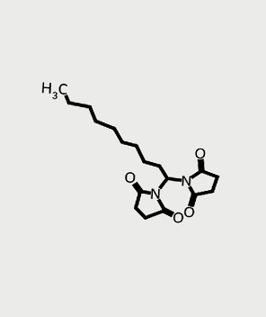 CCCCCCCCCC(N1C(=O)CCC1=O)N1C(=O)CCC1=O